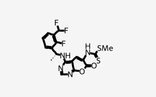 CSC(=S)Nc1cc2c(N[C@H](C)c3cccc(C(F)F)c3F)ncnc2oc1=O